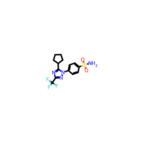 NS(=O)(=O)c1ccc(-n2nc(C(F)(F)F)nc2C2CCCC2)cc1